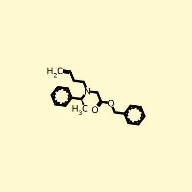 C=CCCN(CC(=O)OCc1ccccc1)[C@@H](C)c1ccccc1